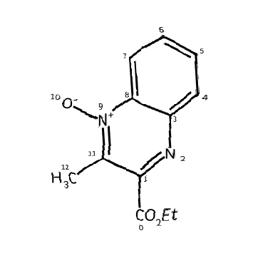 CCOC(=O)c1nc2ccccc2[n+]([O-])c1C